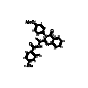 COc1ccc(-n2c(C(C)NC(=O)c3ccc(C(C)(C)C)cc3C)nc3ccccc3c2=O)cc1